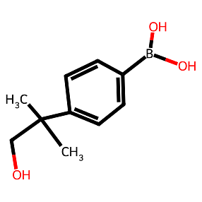 CC(C)(CO)c1ccc(B(O)O)cc1